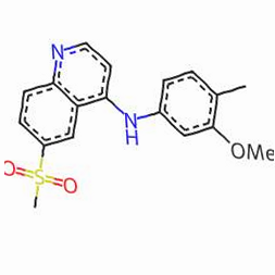 COc1cc(Nc2ccnc3ccc(S(C)(=O)=O)cc23)ccc1C